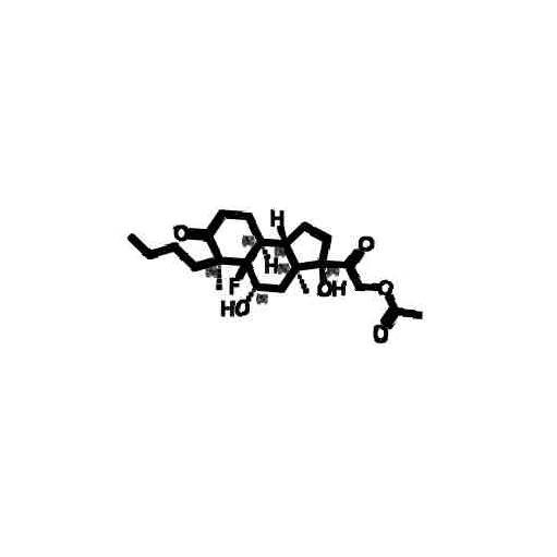 CCCC[C@@]1(C)C(=O)CC[C@H]2[C@@H]3CC[C@](O)(C(=O)COC(C)=O)[C@@]3(C)C[C@H](O)C21F